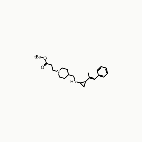 C/C(=C\c1ccccc1)C1CC1NCC1CCN(CCC(=O)OC(C)(C)C)CC1